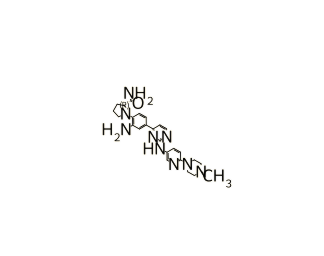 CN1CCN(c2ccc(Nc3nccc(-c4ccc(N5CCC[C@@H]5C(N)=O)c(N)c4)n3)cn2)CC1